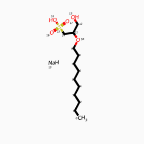 CCCCCCCCCCOC(CO)CS(=O)(=O)O.[NaH]